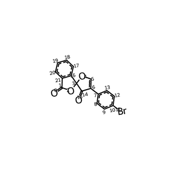 O=C1OC2(OC=C(c3ccc(Br)cc3)C2=O)c2ccccc21